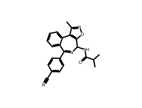 Cc1noc2c1-c1ccccc1C(c1ccc(C#N)cc1)=NC2NC(=O)C(C)C